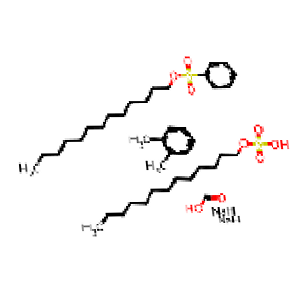 CCCCCCCCCCCCCOS(=O)(=O)O.CCCCCCCCCCCCCOS(=O)(=O)c1ccccc1.Cc1ccccc1C.O=CO.[NaH].[NaH]